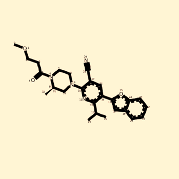 COCCC(=O)N1CCN(c2nc(C(C)C)c(-c3cc4ccccc4o3)cc2C#N)C[C@H]1C